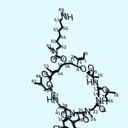 C/C=C(\C)[C@H]1OC(=O)C(C)(C)NC(=O)[C@H](C(C)CC)NC(=O)CN(C)C(=O)[C@@H](Cc2ccc(Cl)cc2)N(C)C(=O)[C@H](C)NC[C@@H](CC(C)C)OC(=O)/C(C)=C/C[C@H](OC(=O)N(C)CCCCCCNC)[C@@H]1C